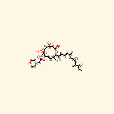 CCC(O)C(C)C1OC1CC(C)/C=C/C=C(\C)C1OC(=O)CC(O)CCC(C)(O)C(OC(=O)CN2CCOCC2)/C=C/C1C